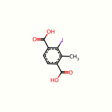 Cc1c(C(=O)O)ccc(C(=O)O)c1I